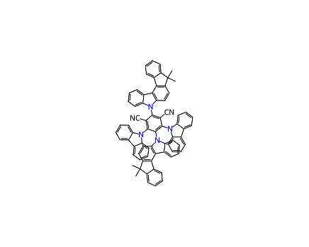 CC1(C)c2ccccc2-c2c1ccc1c2c2ccccc2n1-c1c(C#N)c(-n2c3ccccc3c3ccccc32)c(-n2c3ccccc3c3c4c(ccc32)C(C)(C)c2ccccc2-4)c(-n2c3ccccc3c3ccccc32)c1C#N